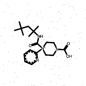 CC(C)(C)CC(C)(C)NC(=O)[N+]1(c2ccccn2)CCN(C(=O)O)CC1